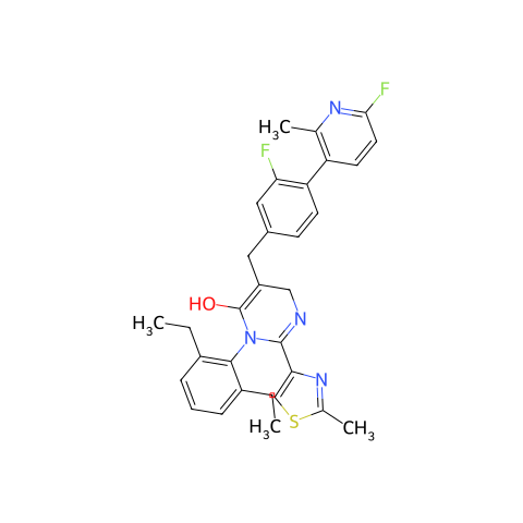 CCc1cccc(CC)c1N1C(c2csc(C)n2)=NCC(Cc2ccc(-c3ccc(F)nc3C)c(F)c2)=C1O